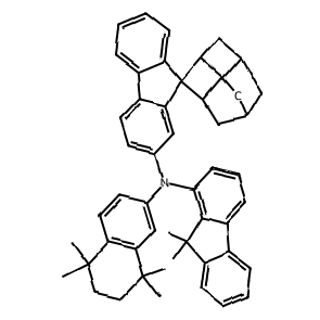 CC1(C)CCC(C)(C)c2cc(N(c3ccc4c(c3)C3(c5ccccc5-4)C4CC5CC6CC3C64C5)c3cccc4c3C(C)(C)c3ccccc3-4)ccc21